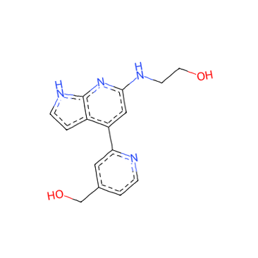 OCCNc1cc(-c2cc(CO)ccn2)c2cc[nH]c2n1